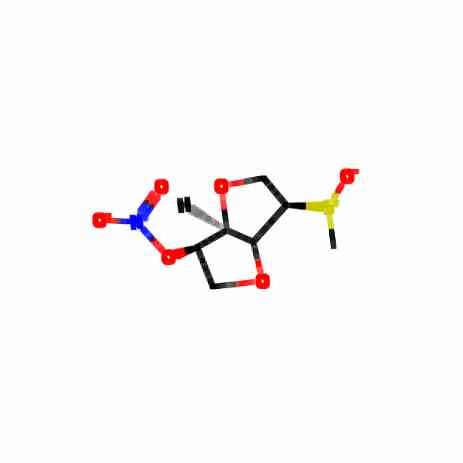 C[S+]([O-])[C@@H]1CO[C@H]2C1OC[C@H]2O[N+](=O)[O-]